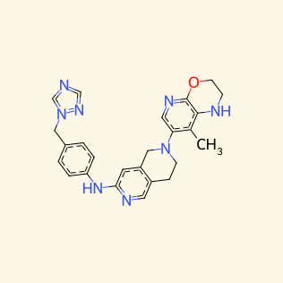 Cc1c(N2CCc3cnc(Nc4ccc(Cn5cncn5)cc4)cc3C2)cnc2c1NCCO2